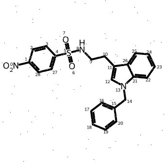 O=[N+]([O-])c1ccc(S(=O)(=O)NCCc2cn(Cc3ccccc3)c3ccccc23)cc1